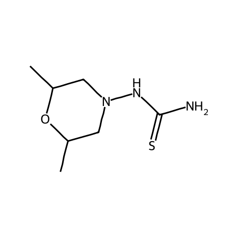 CC1CN(NC(N)=S)CC(C)O1